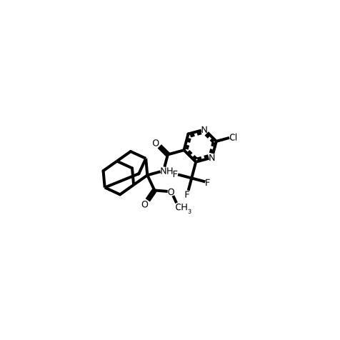 COC(=O)C1(NC(=O)c2cnc(Cl)nc2C(F)(F)F)C2CC3CC(C2)CC1C3